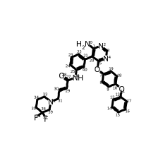 Nc1ncnc(Oc2ccc(Oc3ccccc3)cc2)c1-c1cccc(NC(=O)C=CCN2CCCC(F)(F)C2)c1